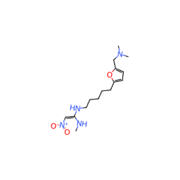 CNC(=C[N+](=O)[O-])NCCCCCc1ccc(CN(C)C)o1